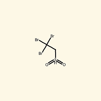 O=[SH](=O)CC(Br)(Br)Br